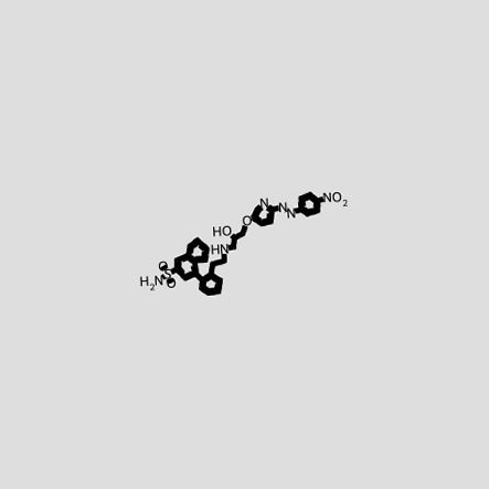 NS(=O)(=O)c1cc(-c2ccccc2CCNCC(O)COc2ccc(N=Nc3ccc([N+](=O)[O-])cc3)nc2)c2ccccc2c1